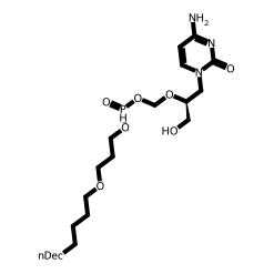 CCCCCCCCCCCCCCOCCCO[PH](=O)OCO[C@H](CO)Cn1ccc(N)nc1=O